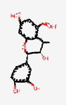 CC1c2c(O)cc(O)cc2O[C@H](c2ccc(O)c(O)c2)[C@H]1O